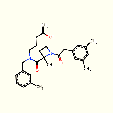 C=C(O)CCCN(Cc1cccc(C)c1)C(=O)C1(C)CCN1C(=O)Cc1cc(C)cc(C)c1